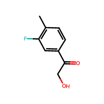 Cc1ccc(C(=O)CO)cc1F